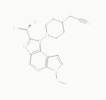 C[C@H](O)c1nc2cnc3c(ccn3SI)c2n1N1CCC(CC#N)CC1